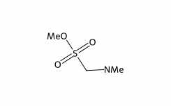 CNCS(=O)(=O)OC